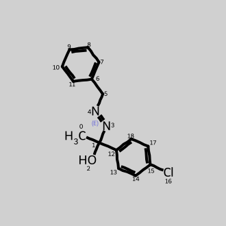 CC(O)(/N=N/Cc1ccccc1)c1ccc(Cl)cc1